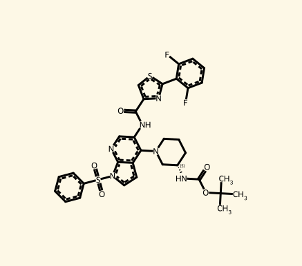 CC(C)(C)OC(=O)N[C@H]1CCCN(c2c(NC(=O)c3csc(-c4c(F)cccc4F)n3)cnc3c2ccn3S(=O)(=O)c2ccccc2)C1